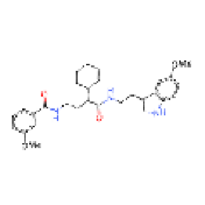 COc1cccc(C(=O)NCCC(C(=O)NCCC2CNc3ccc(OC)cc32)C2CCCCC2)c1